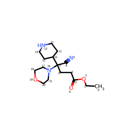 CCOC(=O)CCC(C#N)(C1CCNCC1)N1CCOCC1